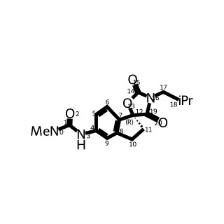 CNC(=O)Nc1ccc2c(c1)CC[C@@]21OC(=O)N(CC(C)C)C1=O